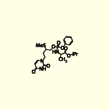 CSC(CCn1ccc(=O)[nH]c1=O)COP(=O)(NC(C)C(=O)OC(C)C)Oc1ccccc1